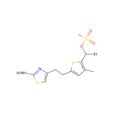 CCC(OS(C)(=O)=O)c1sc(CCc2csc(NC(C)=O)n2)cc1C